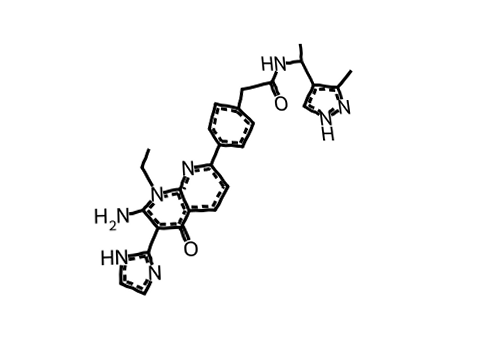 CCn1c(N)c(-c2ncc[nH]2)c(=O)c2ccc(-c3ccc(CC(=O)NC(C)c4c[nH]nc4C)cc3)nc21